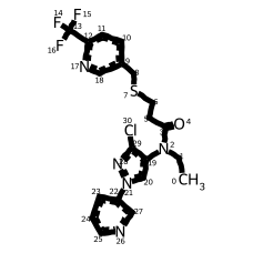 CCN(C(=O)CCSCc1ccc(C(F)(F)F)nc1)c1cn(-c2cccnc2)nc1Cl